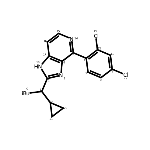 CCC(C)C(c1nc2c(-c3ccc(Cl)cc3Cl)nccc2[nH]1)C1CC1